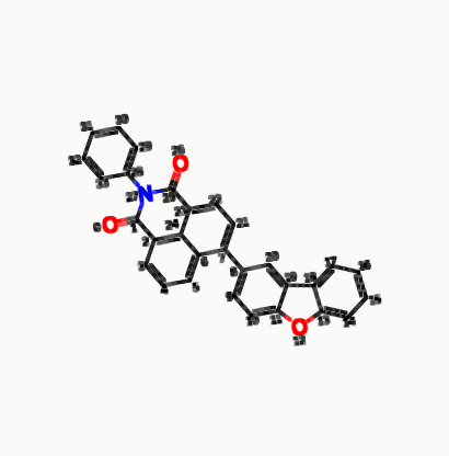 O=C1c2cccc3c(-c4ccc5oc6ccccc6c5c4)ccc(c23)C(=O)N1c1ccccc1